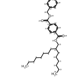 CCCCCCCCC(CCCCCC)COC(=O)c1ccc(C(=O)OCc2ccccc2)cc1